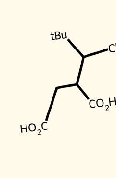 CC(C)(C)C(Cl)C(CC(=O)O)C(=O)O